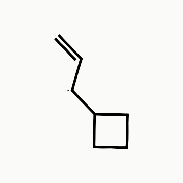 C=C[CH]C1CCC1